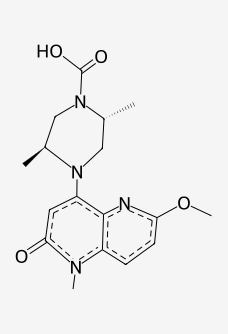 COc1ccc2c(n1)c(N1C[C@@H](C)N(C(=O)O)C[C@@H]1C)cc(=O)n2C